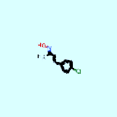 CC(/C=C/c1ccc(Cl)cc1)=N\O